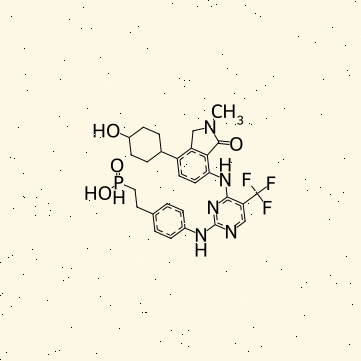 CN1Cc2c(C3CCC(O)CC3)ccc(Nc3nc(Nc4ccc(CC[PH](=O)O)cc4)ncc3C(F)(F)F)c2C1=O